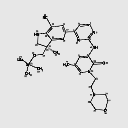 Cc1cc(Nc2nccc(-c3cc(C#N)c4c(c3)[C@@](C)(CO[Si](C)(C)C(C)(C)C)CN4)n2)c(=O)n(CCN2CCOCC2)c1